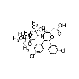 CC(C)(C)[C@@H](CS(=O)(=O)C(C)(C)C)N1C(=O)[C@H](CC(=O)O)O[C@H](c2cccc(Cl)c2)[C@H]1c1ccc(Cl)cc1